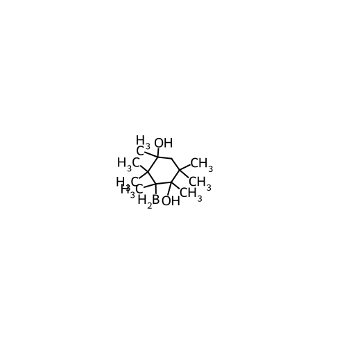 BC1(C)C(C)(C)C(C)(O)CC(C)(C)C1(C)O